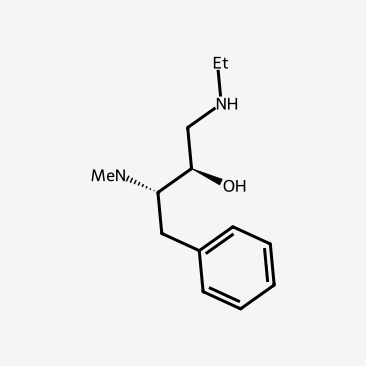 CCNC[C@@H](O)[C@H](Cc1ccccc1)NC